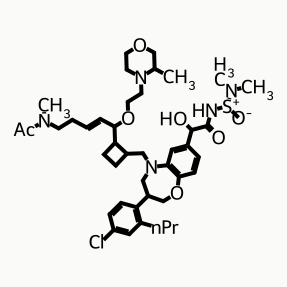 CCCc1cc(Cl)ccc1C1COc2ccc(C(O)C(=O)N[S+]([O-])N(C)C)cc2N(CC2CCC2C(/C=C/CCN(C)C(C)=O)OCCN2CCOCC2C)C1